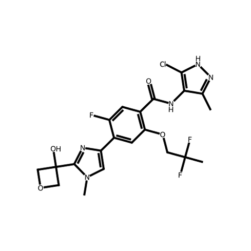 Cc1n[nH]c(Cl)c1NC(=O)c1cc(F)c(-c2cn(C)c(C3(O)COC3)n2)cc1OCC(C)(F)F